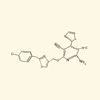 [C-]#[N+]c1c(N)nc(SCc2csc(-c3ccc(Cl)cc3)n2)c(C#N)c1-c1nccs1